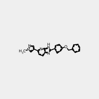 Cn1cc(-c2ccc3nc(-c4ccc(OCc5ccccc5)cc4)[nH]c3n2)cn1